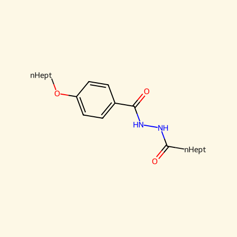 CCCCCCCOc1ccc(C(=O)NNC(=O)CCCCCCC)cc1